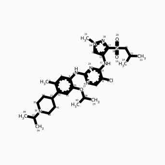 Cc1cc(Nc2ncc(Cl)c(Nc3cn(C)nc3S(=O)(=O)CC(C)C)n2)c(OC(C)C)cc1C1CCN(C(C)C)CC1